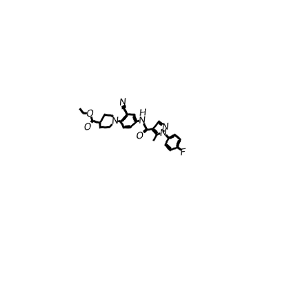 CCOC(=O)C1CCN(c2ccc(NC(=O)c3cnn(-c4ccc(F)cc4)c3C)cc2C#N)CC1